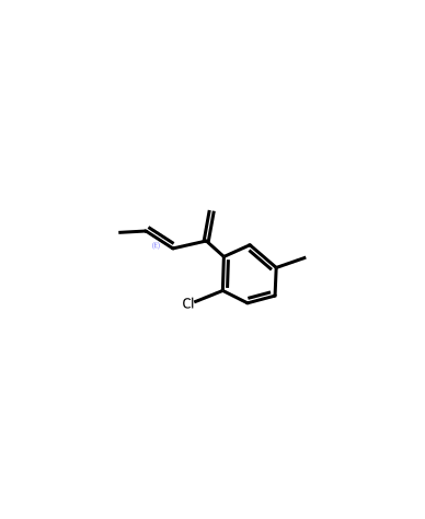 C=C(/C=C/C)c1cc(C)ccc1Cl